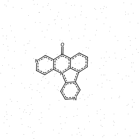 O=c1c2cnccc2n2c3ccncc3c3cccc1c32